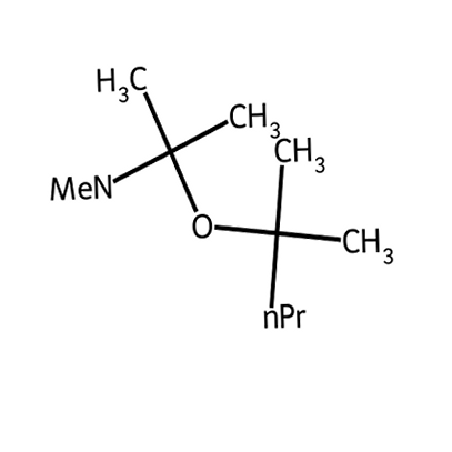 CCCC(C)(C)OC(C)(C)NC